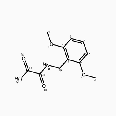 COc1cccc(OC)c1CNC(=O)C(=O)O